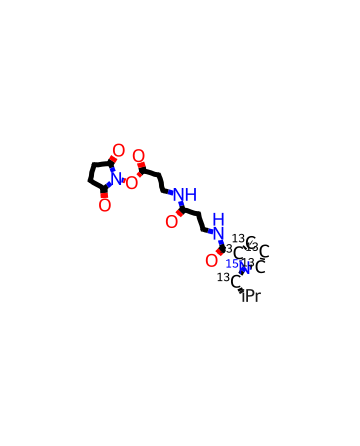 [13CH3][13CH]([13CH3])[13CH2][15N]1[13CH2][13CH2][13CH2][13CH]1C(=O)NCCC(=O)NCCC(=O)ON1C(=O)CCC1=O